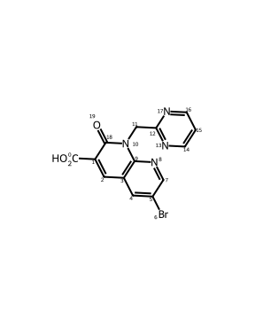 O=C(O)c1cc2cc(Br)cnc2n(Cc2ncccn2)c1=O